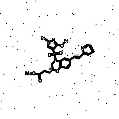 CCOc1nn(CC)cc1S(=O)(=O)N1C[C@H](CCC(=O)OC)Oc2ccc(/C=C/c3ccccn3)cc21